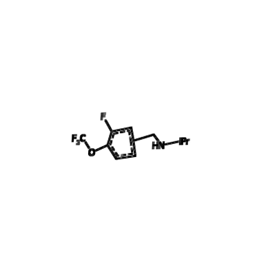 CC(C)NCc1ccc(OC(F)(F)F)c(F)c1